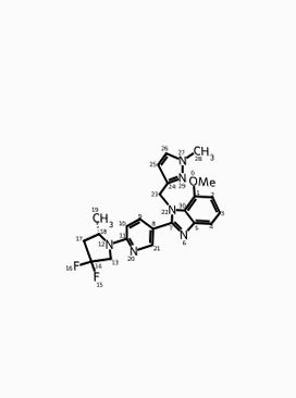 COc1cccc2nc(-c3ccc(N4CC(F)(F)C[C@@H]4C)nc3)n(Cc3ccn(C)n3)c12